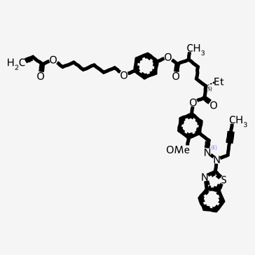 C=CC(=O)OCCCCCCOc1ccc(OC(=O)C(C)CC[C@H](CC)C(=O)Oc2ccc(OC)c(/C=N/N(CC#CC)c3nc4ccccc4s3)c2)cc1